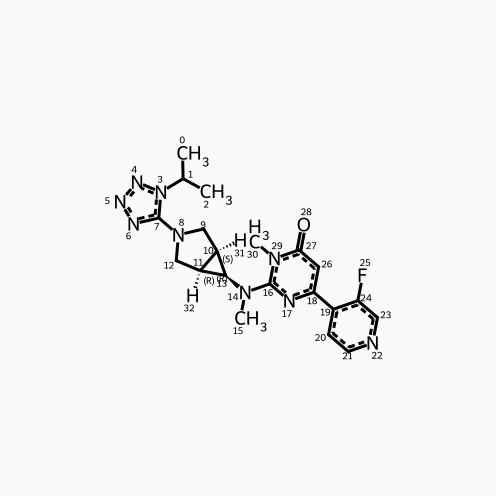 CC(C)n1nnnc1N1C[C@@H]2[C@H](C1)[C@@H]2N(C)c1nc(-c2ccncc2F)cc(=O)n1C